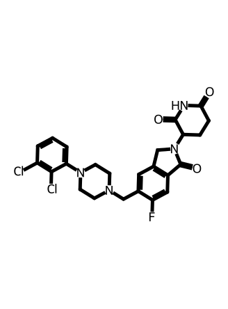 O=C1CCC(N2Cc3cc(CN4CCN(c5cccc(Cl)c5Cl)CC4)c(F)cc3C2=O)C(=O)N1